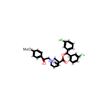 COc1ccc(C(=O)C[N+]23CCC(CC2)C(C(=O)OC(c2cccc(F)c2)c2cccc(F)c2)C3)cc1